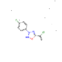 C=C(Cl)C1=NN(c2ccc(F)cc2)NO1